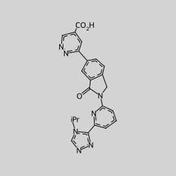 CC(C)n1cnnc1-c1cccc(N2Cc3ccc(-c4cc(C(=O)O)cnn4)cc3C2=O)n1